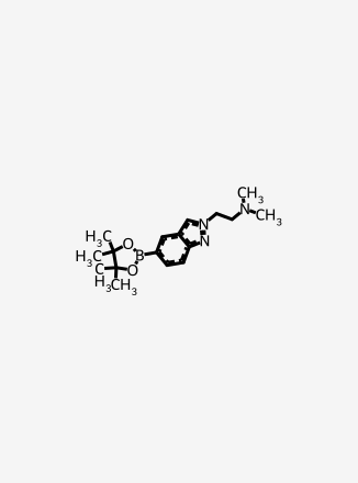 CN(C)CCn1cc2cc(B3OC(C)(C)C(C)(C)O3)ccc2n1